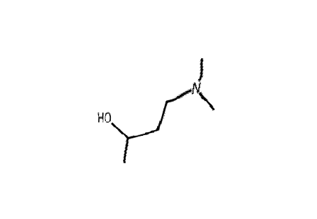 CC(O)CCN(C)C